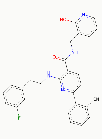 N#Cc1ccccc1-c1ccc(C(=O)NCc2cccnc2O)c(NCCc2cccc(F)c2)n1